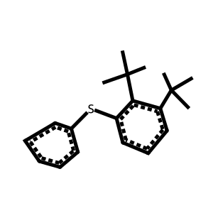 CC(C)(C)c1cccc(Sc2ccccc2)c1C(C)(C)C